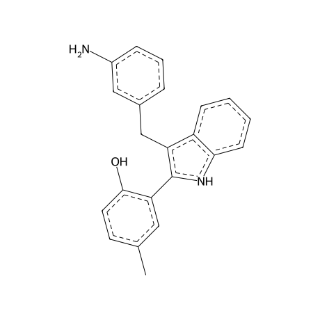 Cc1ccc(O)c(-c2[nH]c3ccccc3c2Cc2cccc(N)c2)c1